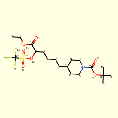 CCOC(=O)C(CCCCC1CCN(C(=O)OC(C)(C)C)CC1)OS(=O)(=O)C(F)(F)F